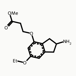 CCOc1cc2c(c(OCCC(=O)OC)c1)CC(N)C2